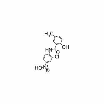 Cc1ccc(O)c(C(=O)Nc2ccc([N+](=O)O)cc2Cl)c1